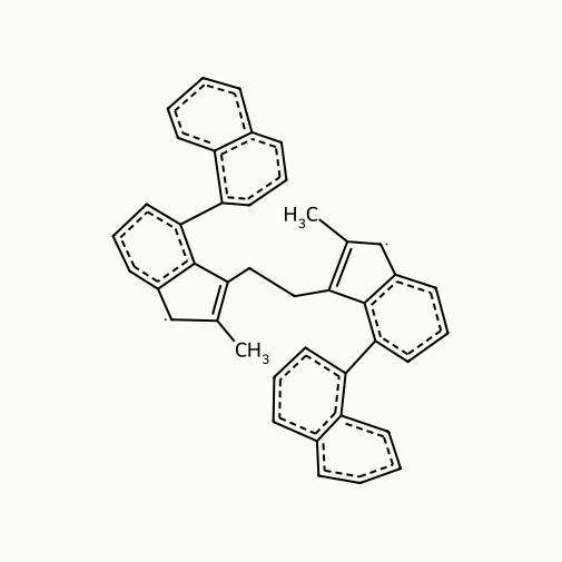 CC1=C(CCC2=C(C)[CH]c3cccc(-c4cccc5ccccc45)c32)c2c(cccc2-c2cccc3ccccc23)[CH]1